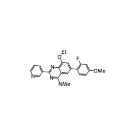 CCOc1cc(-c2ccc(OC)cc2F)cc2c(NC)nc(-c3cccnc3)nc12